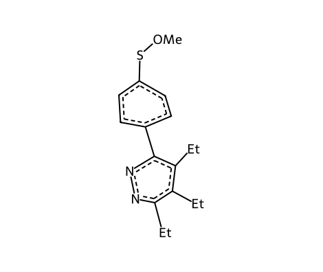 CCc1nnc(-c2ccc(SOC)cc2)c(CC)c1CC